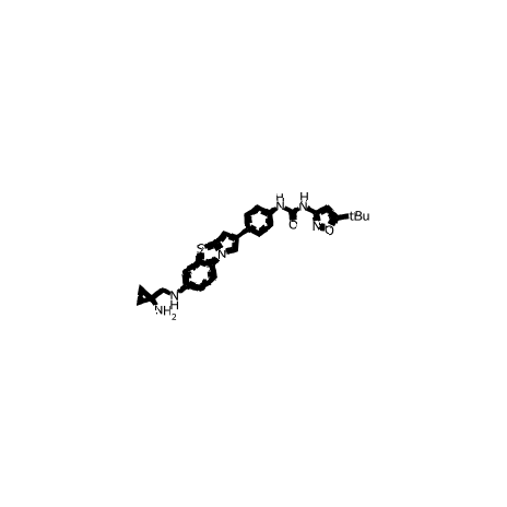 CC(C)(C)c1cc(NC(=O)Nc2ccc(-c3cc4sc5cc(NCC6(N)CC6)ccc5n4c3)cc2)no1